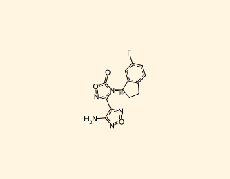 Nc1nonc1-c1noc(=O)n1[C@@H]1CCc2ccc(F)cc21